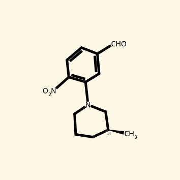 C[C@H]1CCCN(c2cc(C=O)ccc2[N+](=O)[O-])C1